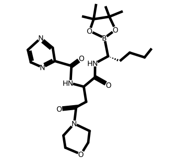 CCCC[C@H](NC(=O)C(CC(=O)N1CCOCC1)NC(=O)c1cnccn1)B1OC(C)(C)C(C)(C)O1